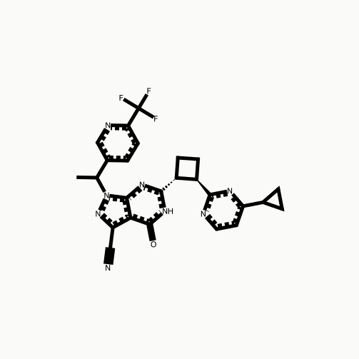 CC(c1ccc(C(F)(F)F)nc1)n1nc(C#N)c2c(=O)[nH]c([C@@H]3CC[C@H]3c3nccc(C4CC4)n3)nc21